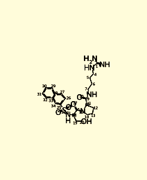 N=C(N)NCCCCNC(=O)[C@H]1CCCN1C(=O)[C@@H](CO)NS(=O)(=O)c1ccc2ccccc2c1